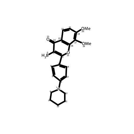 Bc1c(-c2ccc(N3CCCCC3)cc2)oc2c(OC)c(OC)ccc2c1=O